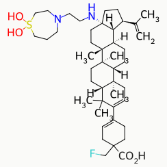 C=C(C)[C@@H]1CC[C@]2(NCCN3CCCS(O)(O)CC3)CC[C@]3(C)[C@H](CC[C@@H]4[C@@]5(C)CC=C(C6=CCC(CF)(C(=O)O)CC6)C(C)(C)[C@@H]5CC[C@]43C)[C@@H]12